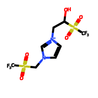 O=S(=O)(Cn1cc[n+](CC(O)S(=O)(=O)C(F)(F)F)c1)C(F)(F)F